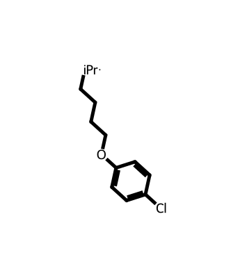 C[C](C)CCCCOc1ccc(Cl)cc1